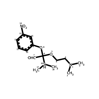 CN(C)CCOC([C]=O)(Oc1cccc([N+](=O)[O-])c1)[SiH](C)C